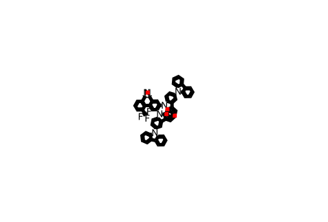 N#Cc1cc(-n2c3ccccc3c3cc(-n4c5ccccc5c5ccccc54)ccc32)c(-n2c3ccccc3c3cc(-n4c5ccccc5c5ccccc54)ccc32)cc1-c1c(C#N)cccc1C(F)(F)F